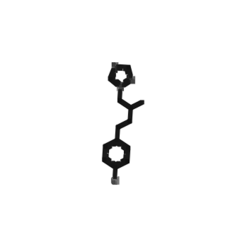 CC(CCc1ccc(Cl)cc1)Cn1cncn1